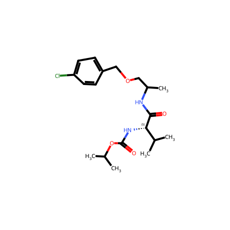 CC(COCc1ccc(Cl)cc1)NC(=O)[C@@H](NC(=O)OC(C)C)C(C)C